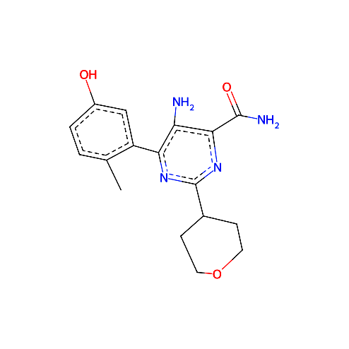 Cc1ccc(O)cc1-c1nc(C2CCOCC2)nc(C(N)=O)c1N